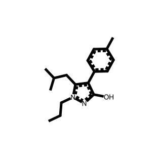 CCCn1nc(O)c(-c2ccc(C)cc2)c1CC(C)C